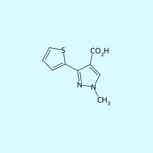 Cn1cc(C(=O)O)c(-c2cccs2)n1